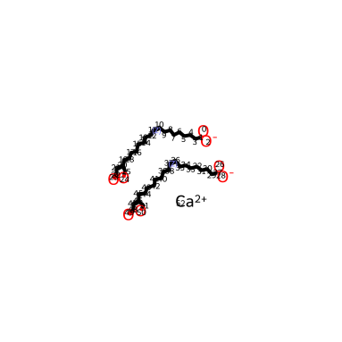 O=C([O-])CCCCCCC/C=C\CCCCCCCCC1=CC(=O)OC1.O=C([O-])CCCCCCC/C=C\CCCCCCCCC1=CC(=O)OC1.[Ca+2]